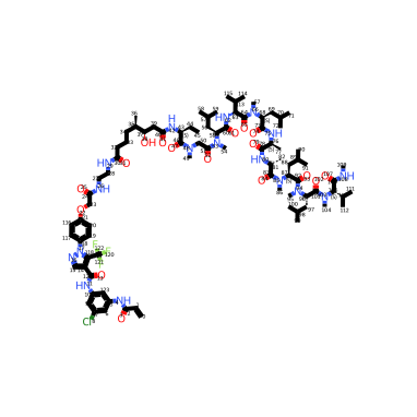 C=CC(=O)Nc1cc(Cl)cc(NC(=O)c2cnn(-c3ccc(OCC(=O)NCCNC(=O)CCC[C@@H](C)[C@@H](O)CC(=O)N[C@@H](CC)C(=O)N(C)CC(=O)N(C)[C@@H](CC(C)C)C(=O)N[C@H](C(=O)N(C)[C@@H](CC(C)C)C(=O)N[C@@H](C)C(=O)N[C@H](C)C(=O)N(C)[C@@H](CC(C)C)C(=O)N(C)[C@@H](CC(C)C)C(=O)N(C)[C@H](C(=O)NC)C(C)C)C(C)C)cc3)c2C(F)(F)F)c1